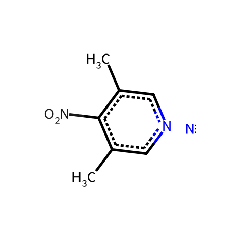 Cc1cncc(C)c1[N+](=O)[O-].[N]